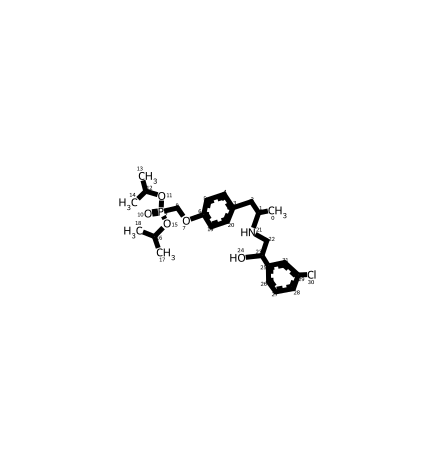 CC(Cc1ccc(OCP(=O)(OC(C)C)OC(C)C)cc1)NCC(O)c1cccc(Cl)c1